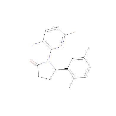 Cc1ccc(C)c([C@H]2CCC(=O)N2c2nc(Br)ccc2N)c1